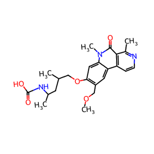 COCc1cc2c3ccnc(C)c3c(=O)n(C)c2cc1OCC(C)CC(C)NC(=O)O